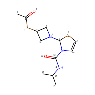 CC(=O)SC1CN(C2SC=CN2C(=O)NC(C)C)C1